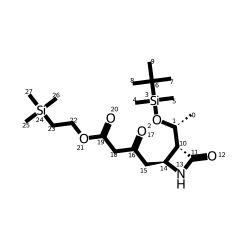 C[C@@H](O[Si](C)(C)C(C)(C)C)[C@@H]1C(=O)N[C@H]1CC(=O)CC(=O)OCC[Si](C)(C)C